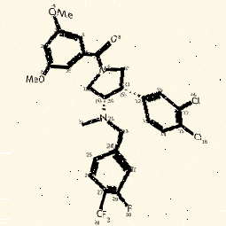 COc1cc(OC)cc(C(=O)N2C[C@H](c3ccc(Cl)c(Cl)c3)[C@H](N(C)Cc3ccc(C(F)(F)F)c(F)c3)C2)c1